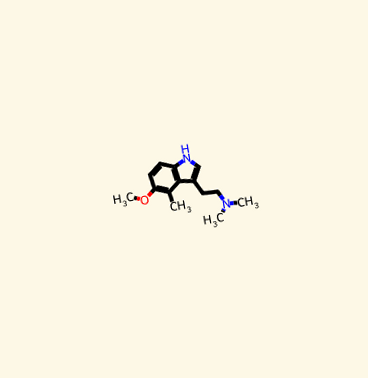 COc1ccc2[nH]cc(CCN(C)C)c2c1C